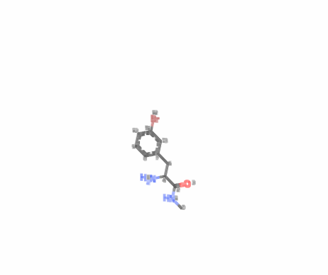 CNC(=O)C(N)Cc1cccc(Br)c1